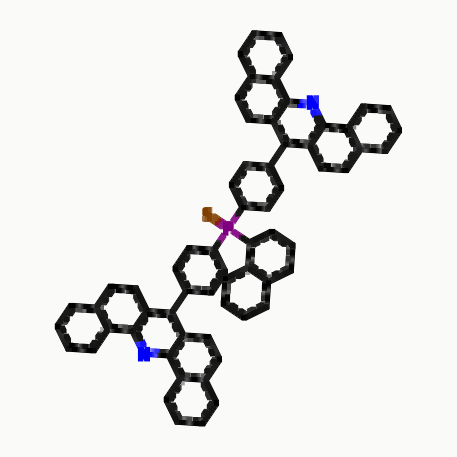 S=P(c1ccc(-c2c3ccc4ccccc4c3nc3c2ccc2ccccc23)cc1)(c1ccc(-c2c3ccc4ccccc4c3nc3c2ccc2ccccc23)cc1)c1cccc2ccccc12